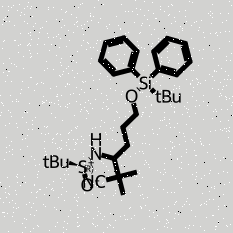 CC(C)(C#N)C(CCCO[Si](c1ccccc1)(c1ccccc1)C(C)(C)C)N[S@@+]([O-])C(C)(C)C